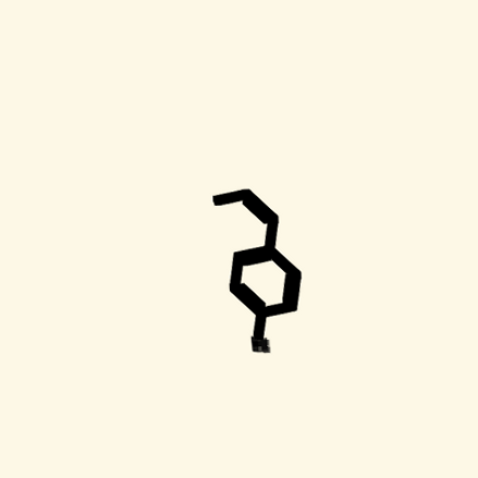 C/C=C\c1ccc(CC)cc1